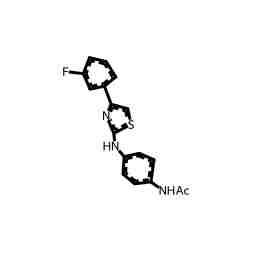 CC(=O)Nc1ccc(Nc2nc(-c3cccc(F)c3)cs2)cc1